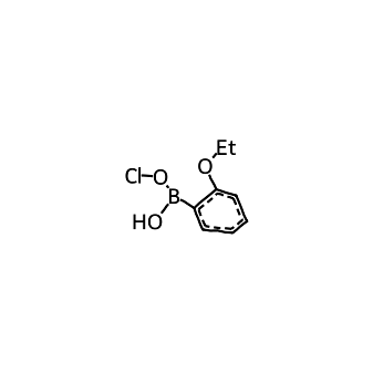 CCOc1ccccc1B(O)OCl